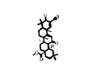 COC(=O)[C@]12CCC(C)(C)C[C@@H]1C1C(=O)C=C3[C@@]4(C)C=C(C#N)C(=O)C(C)(C)C4CC[C@@]3(C)[C@]1(C)CC2